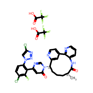 C[C@@H]1CCC[C@H](n2cnc(-c3c(-n4cc(Cl)nn4)ccc(Cl)c3F)cc2=O)c2cc(ccn2)-c2ncccc2NC1=O.O=C(O)C(F)(F)F.O=C(O)C(F)(F)F